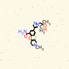 CN1CC[C@@H](Oc2ccc(-c3cnn(CC(C)(C)O)c3)cc2C(N)=O)[C@@H](F)C1